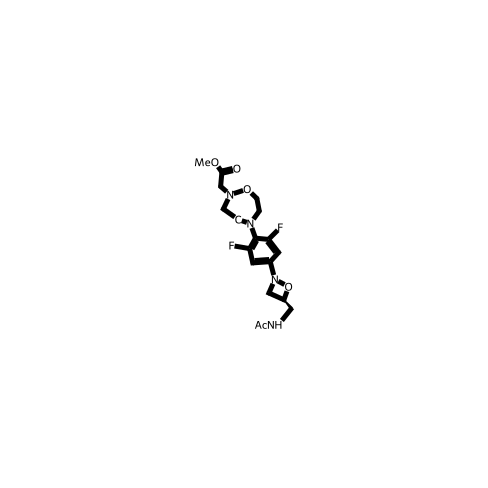 COC(=O)CN1CCN(c2c(F)cc(N3C[C@H](CNC(C)=O)O3)cc2F)CCO1